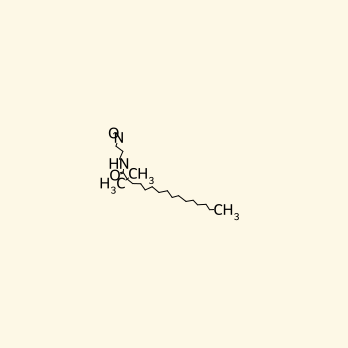 CCCCCCCCCCCCCCC(C)(C)C(=O)NCCCN=O